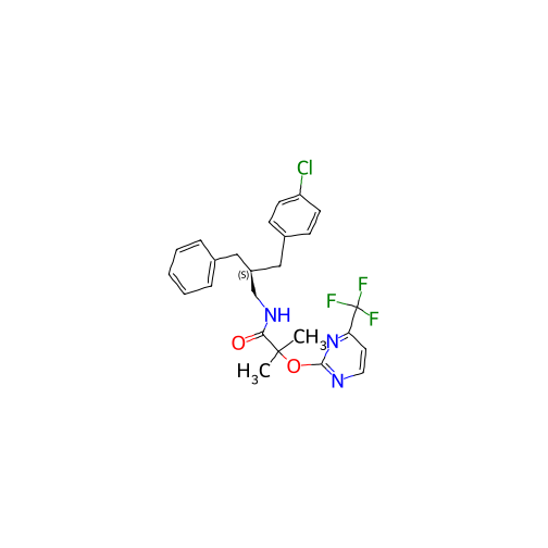 CC(C)(Oc1nccc(C(F)(F)F)n1)C(=O)NC[C@@H](Cc1ccccc1)Cc1ccc(Cl)cc1